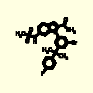 CC(C)(c1ccc(F)cc1)c1cc(Br)cc(-n2c(C(N)=O)cc3ccc(NS(C)(=O)=O)cc32)c1